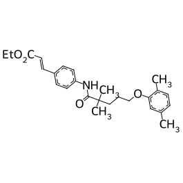 CCOC(=O)C=Cc1ccc(NC(=O)C(C)(C)CCCOc2cc(C)ccc2C)cc1